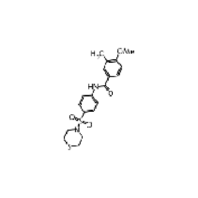 COc1ccc(C(=O)Nc2ccc(S(=O)(=O)N3CCSCC3)cc2)cc1C